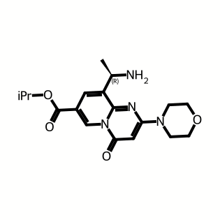 CC(C)OC(=O)c1cc([C@@H](C)N)c2nc(N3CCOCC3)cc(=O)n2c1